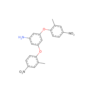 Cc1cc([N+](=O)[O-])ccc1Oc1cc(N)cc(Oc2ccc([N+](=O)[O-])cc2C)c1